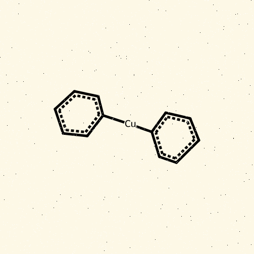 c1cc[c]([Cu][c]2ccccc2)cc1